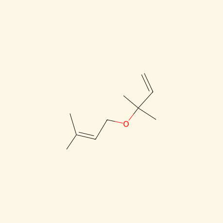 C=CC(C)(C)OCC=C(C)C